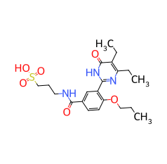 CCCOc1ccc(C(=O)NCCCS(=O)(=O)O)cc1-c1nc(CC)c(CC)c(=O)[nH]1